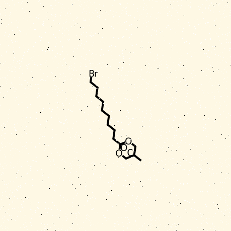 CC12COC(CCCCCCCCCBr)(OC1)OC2